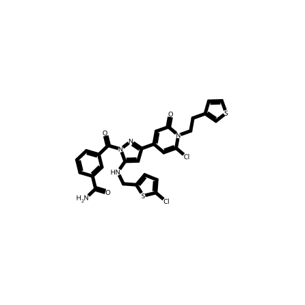 NC(=O)c1cccc(C(=O)n2nc(-c3cc(Cl)n(CCc4ccsc4)c(=O)c3)cc2NCc2ccc(Cl)s2)c1